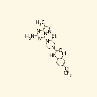 CC[C@H]1CN(C(=O)Nc2ccc(OC(F)(F)F)cc2Cl)CCN1c1nc(N)nc2c(C)cnn12